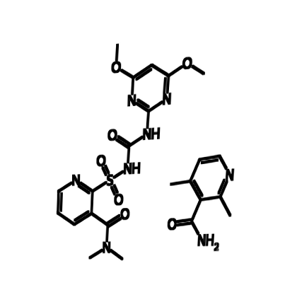 COc1cc(OC)nc(NC(=O)NS(=O)(=O)c2ncccc2C(=O)N(C)C)n1.Cc1ccnc(C)c1C(N)=O